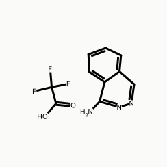 Nc1nncc2ccccc12.O=C(O)C(F)(F)F